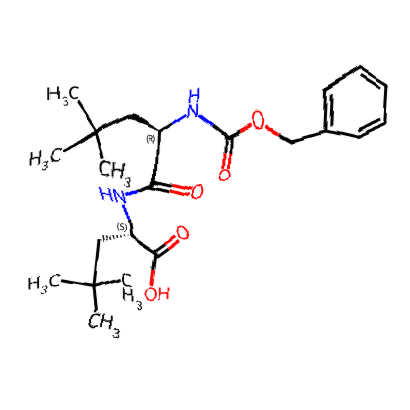 CC(C)(C)C[C@H](NC(=O)[C@@H](CC(C)(C)C)NC(=O)OCc1ccccc1)C(=O)O